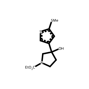 CCOC(=O)N1CCC(O)(c2csc(SC)c2)C1